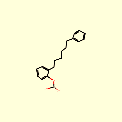 OB(O)Oc1ccccc1CCCCCCc1ccccc1